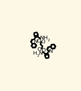 NC(OC(=O)CCC(=O)OC(N)C1=C(c2ccc3ccccc3n2)C2CCC1C2)C1=C(c2ccc3ccccc3n2)C2CCC1C2